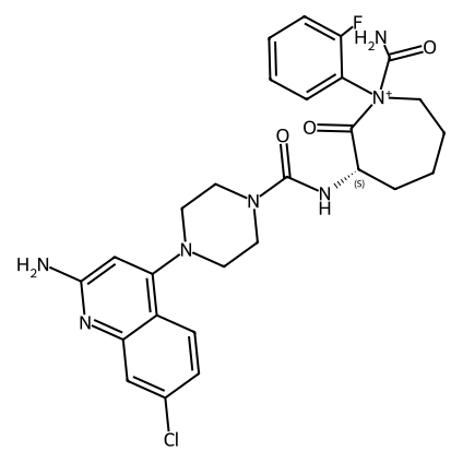 NC(=O)[N+]1(c2ccccc2F)CCCC[C@H](NC(=O)N2CCN(c3cc(N)nc4cc(Cl)ccc34)CC2)C1=O